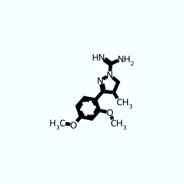 COc1ccc(C2=NN(C(=N)N)CC2C)c(OC)c1